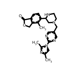 Cc1cn(-c2ncc(CN3CCNC(c4ccc5c(c4C)COC5=O)C3)cn2)c(C)n1